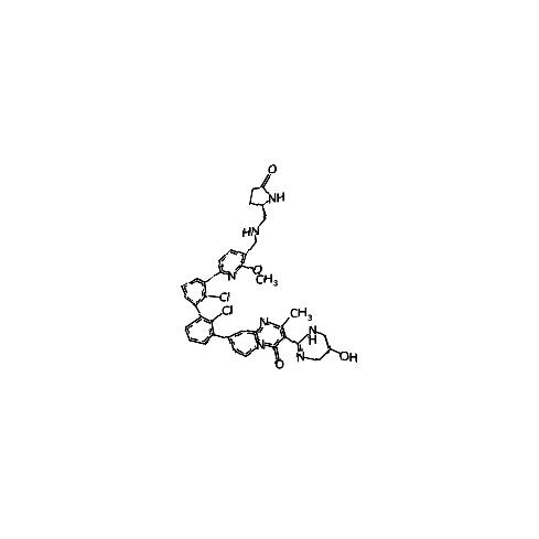 COc1nc(-c2cccc(-c3cccc(-c4ccn5c(=O)c(C6=NCC(O)CN6)c(C)nc5c4)c3Cl)c2Cl)ccc1CNC[C@H]1CCC(=O)N1